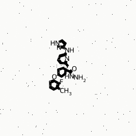 Cc1cccc(O[C@H]2CC[C@](Cc3cccc(Nc4cc[nH]n4)n3)(C(=O)NN)CC2)c1F